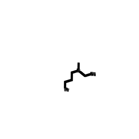 CC(C)CCCN(C)CS